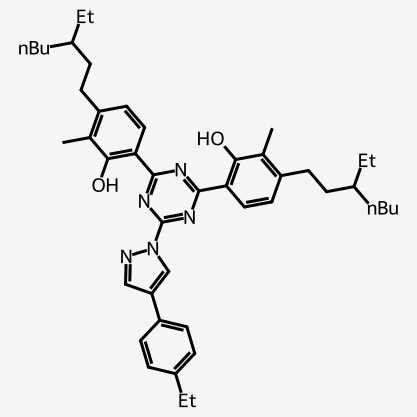 CCCCC(CC)CCc1ccc(-c2nc(-c3ccc(CCC(CC)CCCC)c(C)c3O)nc(-n3cc(-c4ccc(CC)cc4)cn3)n2)c(O)c1C